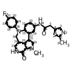 Cc1ncc(CC(=O)Nc2ccc3c(c2)-c2cn(C)c4c(=O)[nH]cc(c24)CN3c2ccc(F)cc2)s1